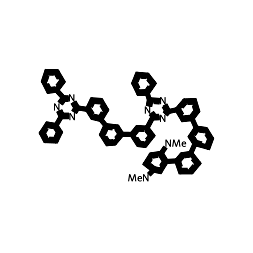 CNc1ccc(NC)c(-c2cccc(-c3cccc(-c4cccc(-c5nc(-c6ccccc6)nc(-c6cccc(-c7cccc(-c8cccc(-c9nc(-c%10ccccc%10)nc(-c%10ccccc%10)n9)c8)c7)c6)n5)c4)c3)c2)c1